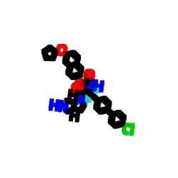 O=C([C@@H](NS(=O)(=O)c1ccc2cc(OC3CCCC3)ccc2c1)C(F)(F)c1ccc(-c2ccc(Cl)cc2)cc1)N1CC[C@H]2CNC[C@H]21